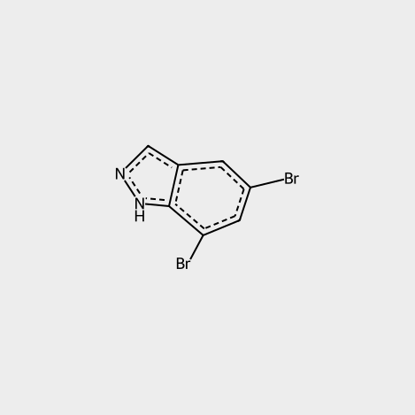 Brc1cc(Br)c2[nH]ncc2c1